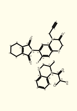 C#CCN1C(=O)COc2cc(F)c(N3C(=O)C4=C(CCCC4)C3=O)cc21.CC1COc2ccccc2N1C(=O)C(Cl)Cl